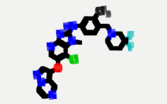 Cn1c(Nc2ccc(CN3CCCC(F)(F)C3)c(C(F)(F)F)c2)nc2ncc(Oc3cnn4ccncc34)c(Cl)c21